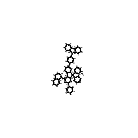 Cc1ccccc1C1(c2ccccc2)c2cc(-c3ccc(-n4c5ccccc5c5ccccc54)cc3)ccc2-c2c(-c3cccc4ccccc34)nc(-c3ccccc3)nc21